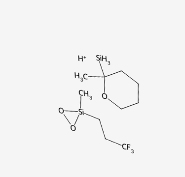 CC1([SiH3])CCCCO1.C[Si]1(CCC(F)(F)F)OO1.[H+]